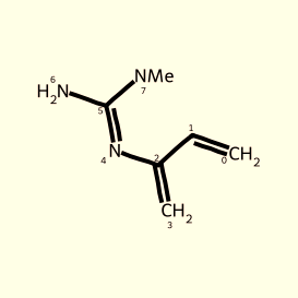 C=CC(=C)/N=C(/N)NC